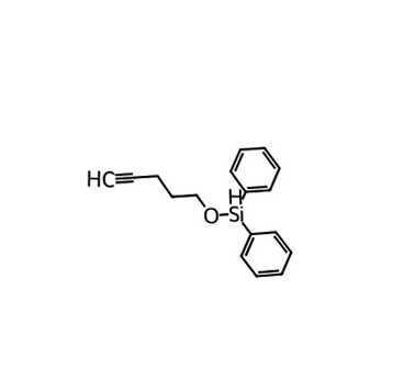 C#CCCCO[SiH](c1ccccc1)c1ccccc1